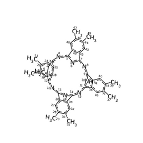 C=C1Cc2nc3nc(nc4[nH]c(nc5nc(nc1c1cc(C)c(C)cc21)-c1cc(C)c(C)cc1-5)c1cc(C)c(C)cc41)-c1cc(C)c(C)cc1-3